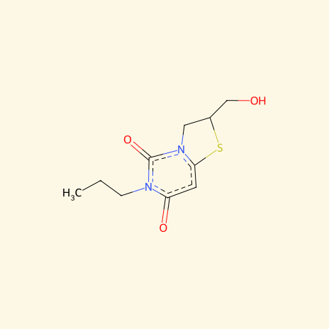 CCCn1c(=O)cc2n(c1=O)CC(CO)S2